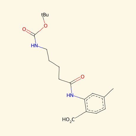 Cc1ccc(C(=O)O)c(NC(=O)CCCCNC(=O)OC(C)(C)C)c1